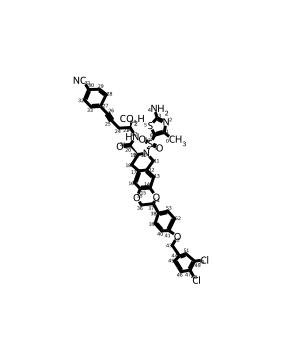 Cc1nc(N)sc1S(=O)(=O)N1Cc2cc3c(cc2C[C@H]1C(=O)N[C@@H](CC#Cc1ccc(C#N)cc1)C(=O)O)OCC(c1ccc(OCc2ccc(Cl)c(Cl)c2)cc1)O3